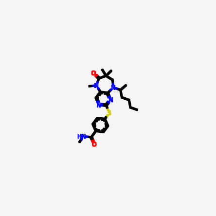 CCCCC(C)N1CC(C)(C)C(=O)N(C)c2cnc(Sc3ccc(C(=O)NC)cc3)nc21